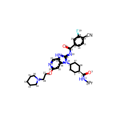 CC(C)NC(=O)[C@H]1CC[C@@H](n2/c(=N/C(=O)c3ccc(C#N)c(F)c3)[nH]c3cnc(OCCN4CCCCC4)cc32)CC1